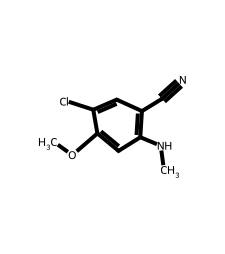 CNc1cc(OC)c(Cl)cc1C#N